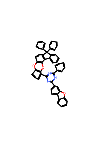 c1ccc(-c2nc(-c3ccc4c(c3)oc3ccccc34)nc(-c3cccc4c3Oc3c(ccc5c3-c3ccccc3C5(c3ccccc3)c3ccccc3)O4)n2)cc1